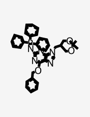 CC1(C)OCC(Cn2cnc3c(OCc4ccccc4)nc(N=P(c4ccccc4)(c4ccccc4)c4ccccc4)nc32)CO1